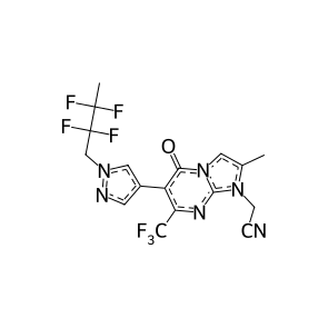 Cc1cn2c(=O)c(-c3cnn(CC(F)(F)C(C)(F)F)c3)c(C(F)(F)F)nc2n1CC#N